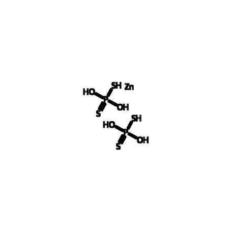 OP(O)(=S)S.OP(O)(=S)S.[Zn]